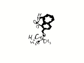 C[Si](C)(C)OCc1ccc2cccc3c2c1S(=O)(=O)N3